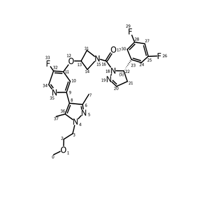 COCCn1nc(C)c(-c2cc(OC3CN(C(=O)N4N=CC[C@H]4c4cc(F)cc(F)c4)C3)c(F)cn2)c1C